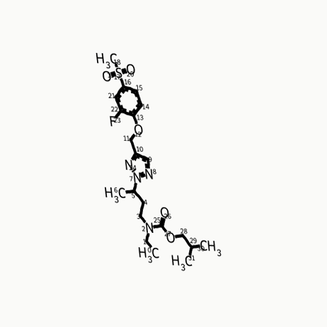 CCN(CCC(C)n1ncc(COc2ccc(S(C)(=O)=O)cc2F)n1)C(=O)OCC(C)C